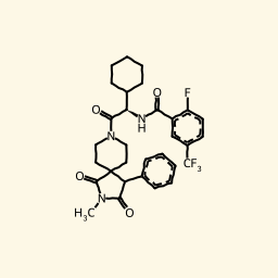 CN1C(=O)C(c2ccccc2)C2(CCN(C(=O)[C@H](NC(=O)c3cc(C(F)(F)F)ccc3F)C3CCCCC3)CC2)C1=O